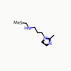 CSCNCCCn1ccnc1C